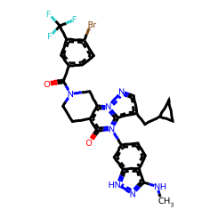 CNc1n[nH]c2cc(-n3c(=O)c4c(n5ncc(CC6CC6)c35)CN(C(=O)c3ccc(Br)c(C(F)(F)F)c3)CC4)ccc12